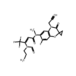 C#CCN1C(=O)C2(CC2)Oc2cc(F)c(N(C)C(=O)/C=C(\N(C=O)CCC)C(F)(F)F)cc21